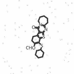 O=CC1=C(SC2CCCCC2)c2sc3nc4n(c(=O)c3c2CC1)CCCCC4